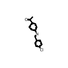 CC(=O)c1ccc(/N=C/c2ccc(Cl)cc2)cc1